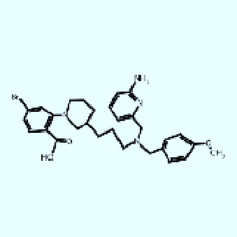 COc1ccc(CN(CCCC2CCCN(c3cc(Br)ccc3C(=O)O)C2)Cc2cccc(N)n2)cc1